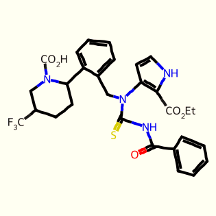 CCOC(=O)c1[nH]ccc1N(Cc1ccccc1C1CCC(C(F)(F)F)CN1C(=O)O)C(=S)NC(=O)c1ccccc1